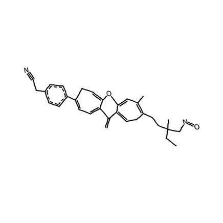 C=C1C2=CC=C(c3ccc(CC#N)cc3)CC=C2OC2=CC(C)=C(CCC(C)(CC)CN=O)CC=C12